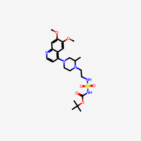 COc1cc2nccc(N3CCN(CCNS(=O)(=O)NC(=O)OC(C)(C)C)C(C)C3)c2cc1OC